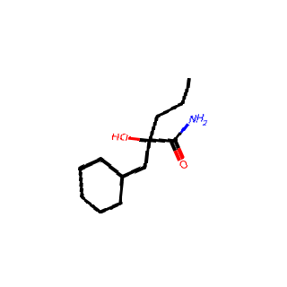 CCCC(O)(CC1CCCCC1)C(N)=O